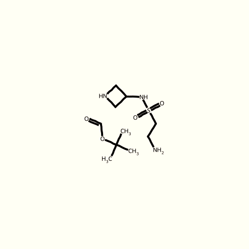 CC(C)(C)OC=O.NCCS(=O)(=O)NC1CNC1